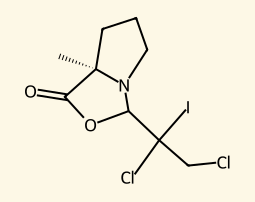 C[C@]12CCCN1C(C(Cl)(I)CCl)OC2=O